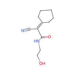 N#CC(C(=O)NCCO)=C1CCCCC1